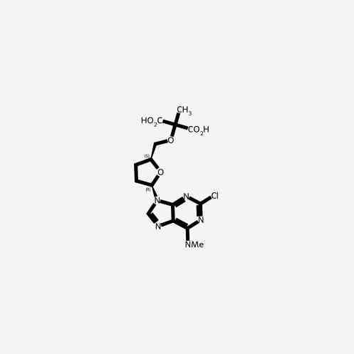 CNc1nc(Cl)nc2c1ncn2[C@H]1CC[C@@H](COC(C)(C(=O)O)C(=O)O)O1